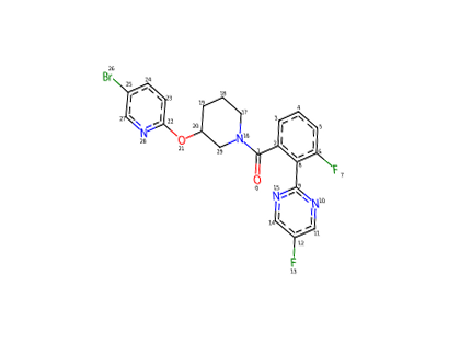 O=C(c1cccc(F)c1-c1ncc(F)cn1)N1CCCC(Oc2ccc(Br)cn2)C1